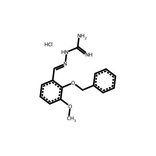 COc1cccc(C=NNC(=N)N)c1OCc1ccccc1.Cl